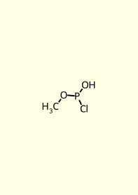 COP(O)Cl